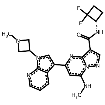 CNc1cc(-c2cn(C3CN(C)C3)c3ncccc23)nc2c(C(=O)N[C@H]3CCC3(F)F)cnn12